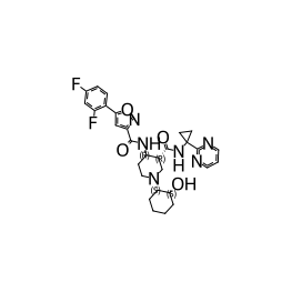 O=C(N[C@@H]1CCN([C@H]2CCCC[C@@H]2O)C[C@H]1C(=O)NC1(c2ncccn2)CC1)c1cc(-c2ccc(F)cc2F)on1